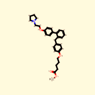 COC(=O)CCCCOc1ccc(Cc2ccccc2-c2ccc(OCCN3CCCC3)cc2)cc1